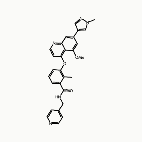 COc1cc(-c2cnn(C)c2)cc2nccc(Oc3cccc(C(=O)NCc4ccncc4)c3C)c12